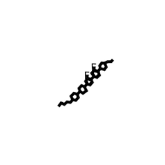 CCCCCC1CCC(C2CCC(c3ccc(-c4ccc(C5CCC(CCC)CC5)c(F)c4)c(F)c3)CC2)CC1